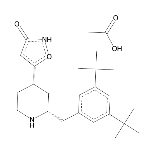 CC(=O)O.CC(C)(C)c1cc(C[C@H]2C[C@@H](c3cc(=O)[nH]o3)CCN2)cc(C(C)(C)C)c1